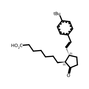 CC(C)(C)c1ccc(C=C[C@@H]2CCC(=O)[C@H]2CCCCCCC(=O)O)cc1